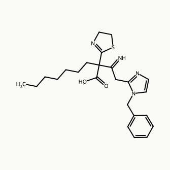 CCCCCCCC(C(=N)Cc1nccn1Cc1ccccc1)(C(=O)O)C1=NCCS1